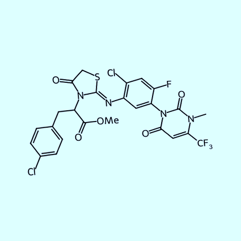 COC(=O)C(Cc1ccc(Cl)cc1)N1C(=O)CS/C1=N\c1cc(-n2c(=O)cc(C(F)(F)F)n(C)c2=O)c(F)cc1Cl